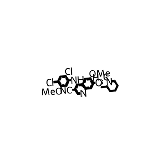 COc1cc(Nc2c(C#N)cnc3cc(OCC4CCCCN4C)c(OC)cc23)c(Cl)cc1Cl